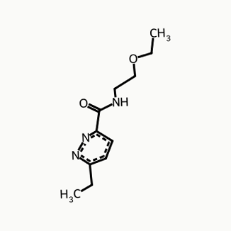 CCOCCNC(=O)c1ccc(CC)nn1